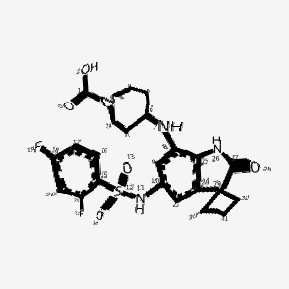 O=C(O)N1CCC(Nc2cc(NS(=O)(=O)c3ccc(F)cc3F)cc3c2NC(=O)C32CCC2)CC1